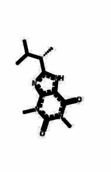 CC(C)[C@H](C)c1nc2c([nH]1)c(=O)n(C)c(=O)n2C